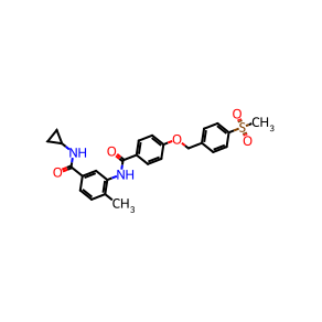 Cc1ccc(C(=O)NC2CC2)cc1NC(=O)c1ccc(OCc2ccc(S(C)(=O)=O)cc2)cc1